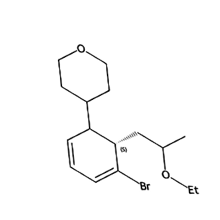 CCOC(C)C[C@@H]1C(Br)=CC=CC1C1CCOCC1